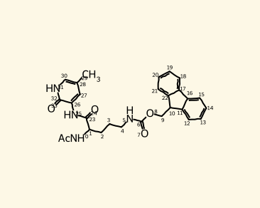 CC(=O)NC(CCCNC(=O)OCC1c2ccccc2-c2ccccc21)C(=O)Nc1cc(C)c[nH]c1=O